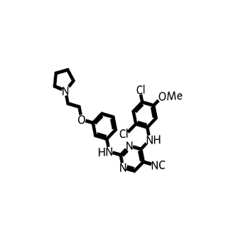 [C-]#[N+]c1cnc(Nc2cccc(OCCN3CCCC3)c2)nc1Nc1cc(OC)c(Cl)cc1Cl